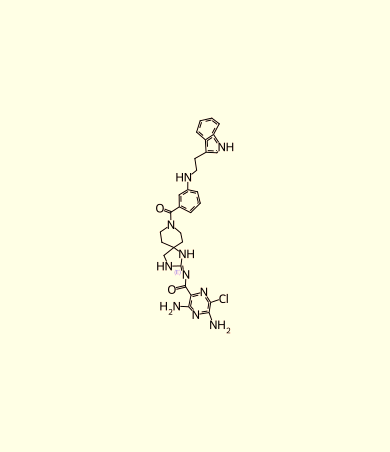 Nc1nc(N)c(C(=O)/N=C2\NCC3(CCN(C(=O)c4cccc(NCCc5c[nH]c6ccccc56)c4)CC3)N2)nc1Cl